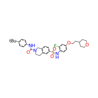 CC(C)(C)c1ccc(NC(=O)N2CCc3cc(S(=O)(=O)Nc4ccc(OCCC5CCOCC5)cc4F)ccc3C2)cc1